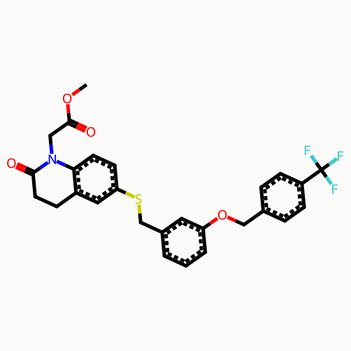 COC(=O)CN1C(=O)CCc2cc(SCc3cccc(OCc4ccc(C(F)(F)F)cc4)c3)ccc21